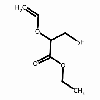 C=COC(CS)C(=O)OCC